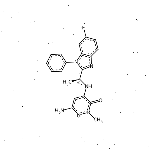 C[C@H](Nc1cc(N)nn(C)c1=O)c1nc2ccc(F)cc2n1-c1ccccc1